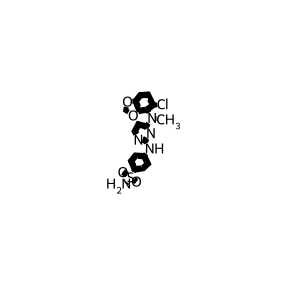 CN(c1ccnc(Nc2ccc(S(N)(=O)=O)cc2)n1)c1c(Cl)ccc2c1OCO2